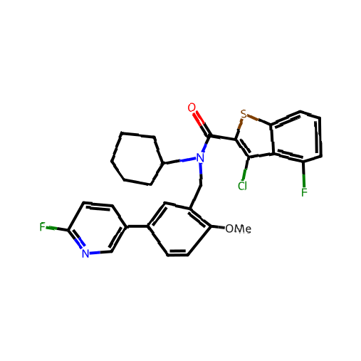 COc1ccc(-c2ccc(F)nc2)cc1CN(C(=O)c1sc2cccc(F)c2c1Cl)C1CCCCC1